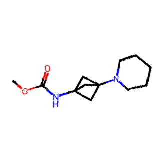 COC(=O)NC12CC(N3CCCCC3)(C1)C2